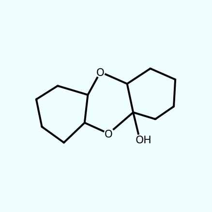 OC12CCCCC1OC1CCCCC1O2